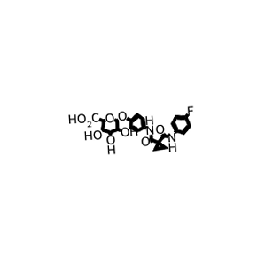 O=C(O)C1OC(Oc2ccc(NC(=O)C3(C(=O)Nc4ccc(F)cc4)CC3)cc2)C(O)C(O)C1O